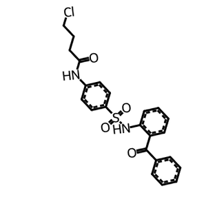 O=C(CCCCl)Nc1ccc(S(=O)(=O)Nc2ccccc2C(=O)c2ccccc2)cc1